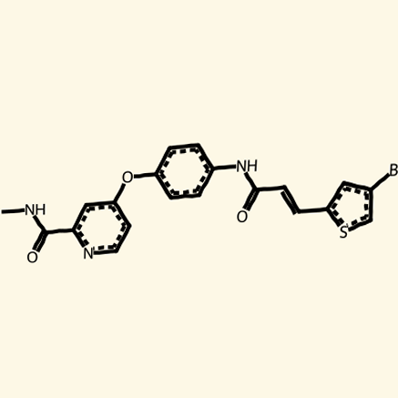 CNC(=O)c1cc(Oc2ccc(NC(=O)C=Cc3cc(Br)cs3)cc2)ccn1